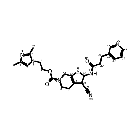 Cc1cn(CCOC(=O)N2CCC3=C(C2)SC(NC(=O)CCc2cccnc2)C3C#N)c(C)n1